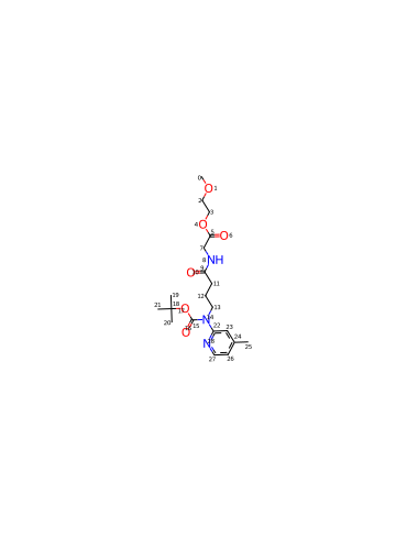 COCCOC(=O)CNC(=O)CCCN(C(=O)OC(C)(C)C)c1cc(C)ccn1